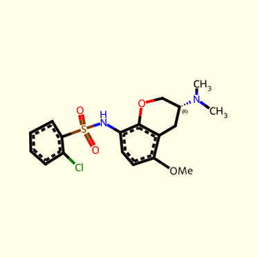 COc1ccc(NS(=O)(=O)c2ccccc2Cl)c2c1C[C@@H](N(C)C)CO2